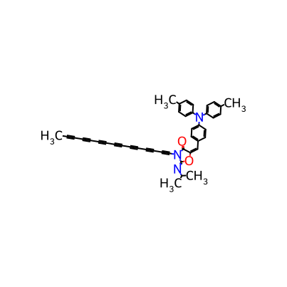 CC#CC#CC#CC#CC#CC#CC#CN1C(=O)/C(=C\c2ccc(N(c3ccc(C)cc3)c3ccc(C)cc3)cc2)OC1=NC(C)C